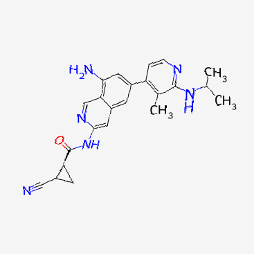 Cc1c(-c2cc(N)c3cnc(NC(=O)[C@H]4CC4C#N)cc3c2)ccnc1NC(C)C